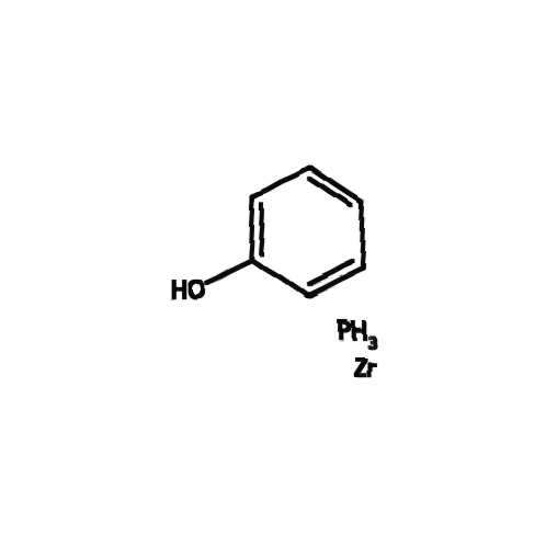 Oc1ccccc1.P.[Zr]